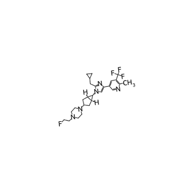 Cc1ncc(-c2cn([C@H]3[C@@H]4CC(N5CCN(CCF)CC5)C[C@@H]43)c(CC3CC3)n2)cc1C(F)(F)F